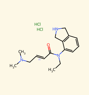 CCN(C(=O)/C=C/CN(C)C)c1cccc2c1CNC2.Cl.Cl